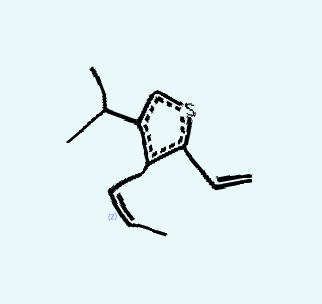 C=Cc1scc(C(C)C)c1/C=C\C